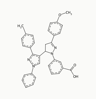 COc1ccc(C2=NN(c3cccc(C(=O)O)c3)C(c3cn(-c4ccccc4)nc3-c3ccc(C)cc3)C2)cc1